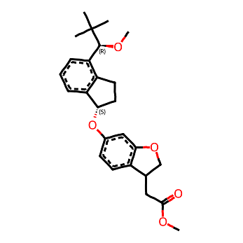 COC(=O)CC1COc2cc(O[C@H]3CCc4c3cccc4[C@H](OC)C(C)(C)C)ccc21